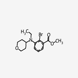 CCN(c1cccc(C(=O)OC)c1Br)C1CCOCC1